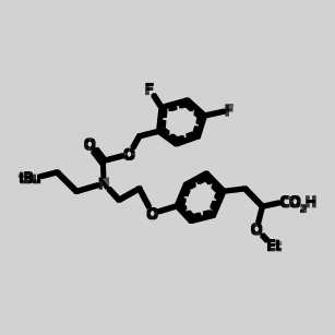 CCOC(Cc1ccc(OCCN(CCC(C)(C)C)C(=O)OCc2ccc(F)cc2F)cc1)C(=O)O